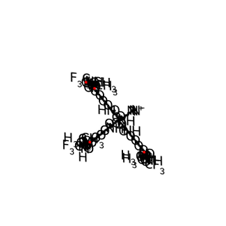 CC1(C)O[C@@H]2[C@@H](NC(=O)C(F)(F)F)[C@H]3OC[C@](COCCOCCOCCOCCNC(=O)CCOCC(COCCC(=O)NCCOCCOCCOCCOC[C@@]45CO[C@@H](O4)[C@H](NC(=O)C(F)(F)F)[C@H]4OC(C)(C)O[C@H]45)(COCCC(=O)NCCOCCOCCOCCOC[C@@]45CO[C@@H](O4)[C@H](NC(=O)C(F)(F)F)[C@H]4OC(C)(C)O[C@H]45)NC(=O)CCCCCN=[N+]=[N-])(O3)[C@@H]2O1